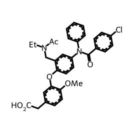 CCN(Cc1cc(N(C(=O)c2ccc(Cl)cc2)c2ccccc2)ccc1Oc1cc(CC(=O)O)ccc1OC)C(C)=O